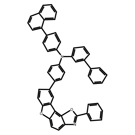 c1ccc(-c2cccc(N(c3ccc(-c4ccc5oc6ccc7nc(-c8ccccc8)oc7c6c5c4)cc3)c3ccc(-c4cccc5ccccc45)cc3)c2)cc1